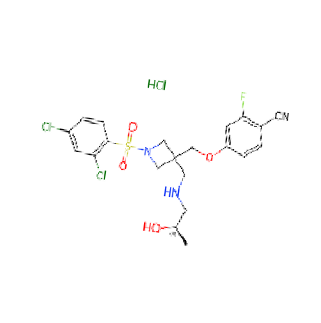 C[C@@H](O)CNCC1(COc2ccc(C#N)c(F)c2)CN(S(=O)(=O)c2ccc(Cl)cc2Cl)C1.Cl